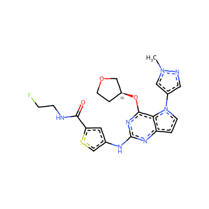 Cn1cc(-n2ccc3nc(Nc4csc(C(=O)NCCF)c4)nc(O[C@H]4CCOC4)c32)cn1